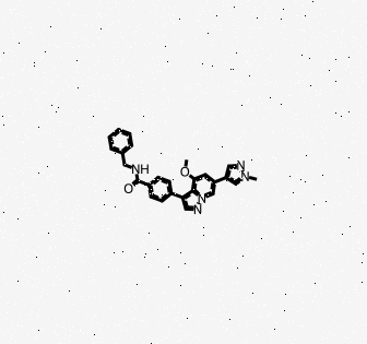 COc1cc(-c2cnn(C)c2)cn2ncc(-c3ccc(C(=O)NCc4ccccc4)cc3)c12